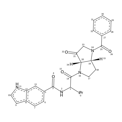 CC(C)C(NC(=O)c1ccc2cc[nH]c2c1)C(=O)N1CC[C@@H]2[C@H]1C(=O)CN2C(=O)c1ccccc1